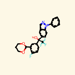 OC(c1ccc(F)c(C2OCCCO2)c1)(c1ccc2c(cnn2-c2ccccc2)c1)C(F)(F)F